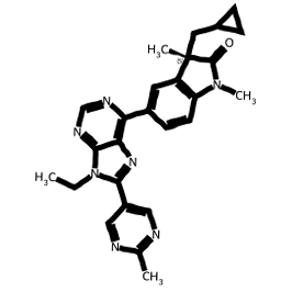 CCn1c(-c2cnc(C)nc2)nc2c(-c3ccc4c(c3)[C@](C)(CC3CC3)C(=O)N4C)ncnc21